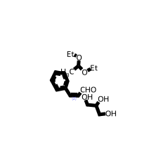 CCOC(C)OCC.O=C/C=C\c1ccccc1.OCC(O)CO